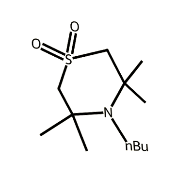 CCCCN1C(C)(C)CS(=O)(=O)CC1(C)C